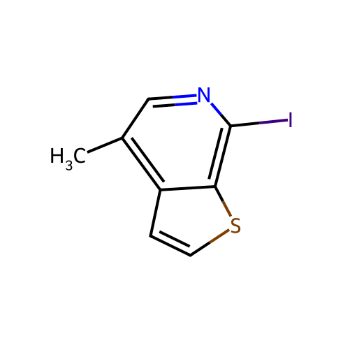 Cc1cnc(I)c2sccc12